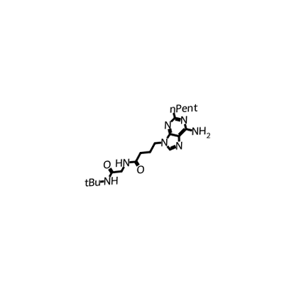 CCCCCc1nc(N)c2ncn(CCCC(=O)NCC(=O)NC(C)(C)C)c2n1